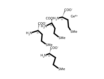 CSCC[C@H](N)C(=O)[O-].CSCC[C@H](N)C(=O)[O-].CSCC[C@H](N)C(=O)[O-].CSCC[C@H](N)C(=O)[O-].[Ge+4]